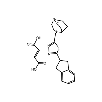 O=C(O)/C=C/C(=O)O.c1ccc2c(c1)CC(c1nnc(N3CCN4CCC3CC4)o1)C2